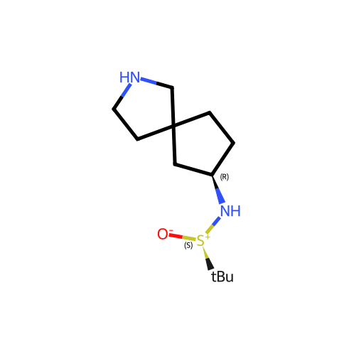 CC(C)(C)[S@@+]([O-])N[C@@H]1CCC2(CCNC2)C1